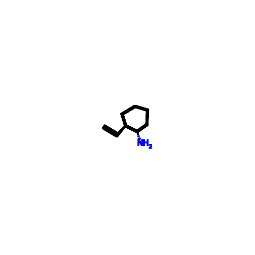 C=C[C@H]1CCCC[C@@H]1N